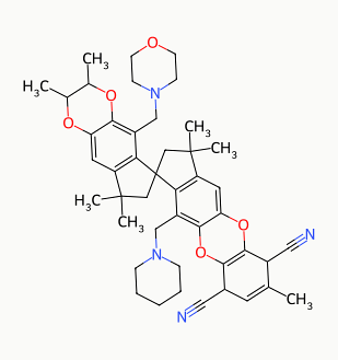 CC1=CC(C#N)C2=C(Oc3cc4c(c(CN5CCCCC5)c3O2)C2(CC4(C)C)CC(C)(C)c3cc4c(c(CN5CCOCC5)c32)OC(C)C(C)O4)C1C#N